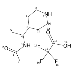 CC(=O)NC(C)C1CCNCC1.O=C(O)C(F)(F)F